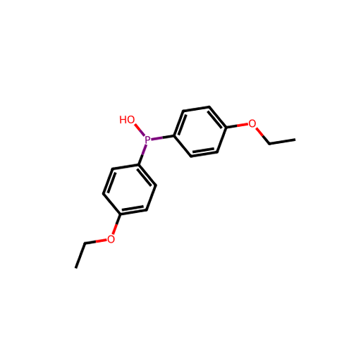 CCOc1ccc(P(O)c2ccc(OCC)cc2)cc1